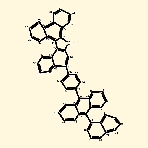 c1ccc2c(-c3c4ccccc4c(-c4ccc(-c5cc6oc7c8ccccc8c8ccccc8c7c6c6ccccc56)cc4)c4ccccc34)cccc2c1